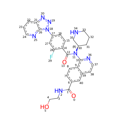 O=C(NCCO)c1ccc2c(N(C(=O)c3ccc(-n4nnc5cccnc54)cc3F)[C@@H]3CCCNC3)nccc2c1